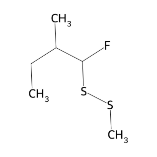 CCC(C)C(F)SSC